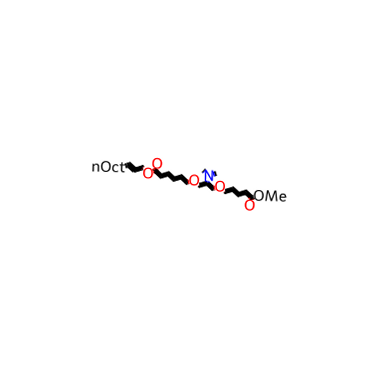 CCCCCCCCC=CCOC(=O)CCCCCOCC(COCCCCC(=O)OC)N(C)C